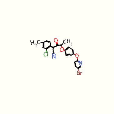 Cc1ccc(C(C#N)C(=O)C(C)Oc2ccc(Oc3ccc(Br)cn3)cc2)c(Cl)c1